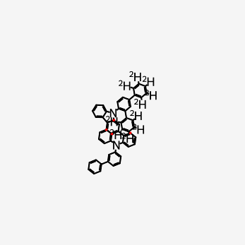 [2H]c1c([2H])c([2H])c(-c2ccc(-n3c4ccccc4c4ccc(-c5ccccc5N(c5ccccc5)c5cccc(-c6ccccc6)c5)cc43)c(-c3c([2H])c([2H])c([2H])c([2H])c3[2H])c2)c([2H])c1[2H]